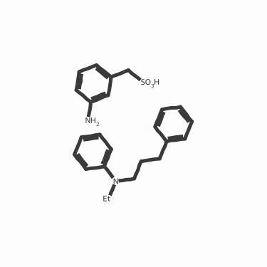 CCN(CCCc1ccccc1)c1ccccc1.Nc1cccc(CS(=O)(=O)O)c1